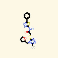 CCc1nnc(SCC(=O)Nc2nnc(-c3ccccc3)s2)n1CC1CCCO1